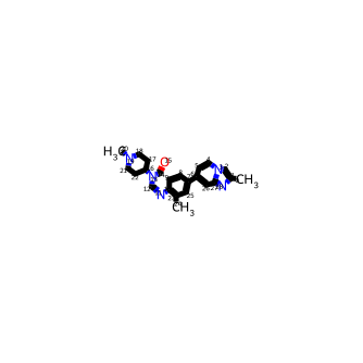 Cc1cn2ccc(-c3ccc(/N=C\N(C=O)C4CCN(C)CC4)c(C)c3)cc2n1